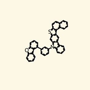 c1cc(-c2cccc3oc4ccccc4c23)cc(-n2c3ccccc3c3cc4c(cc32)sc2ccc3ccccc3c24)c1